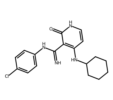 N=C(Nc1ccc(Cl)cc1)c1c(NC2CCCCC2)cc[nH]c1=O